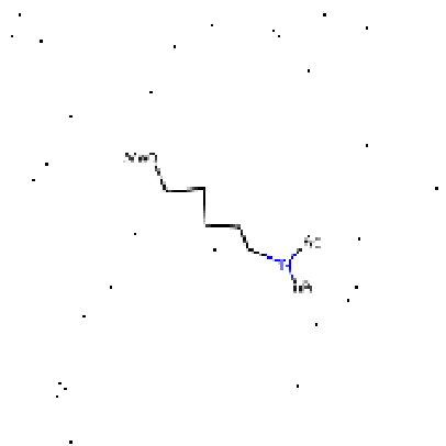 CCCN(CCCCCOC)C(C)=O